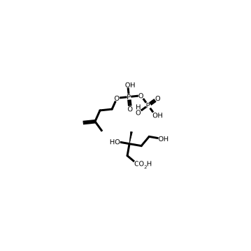 C=C(C)CCOP(=O)(O)OP(=O)(O)O.C[C@@](O)(CCO)CC(=O)O